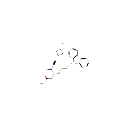 C/N=C(\C#C[C@H]1C[C@@H](CC(C)C)C1)[C@@H](CCCO[Si](c1ccccc1)(c1ccccc1)C(C)(C)C)CC(=O)OC(C)(C)C